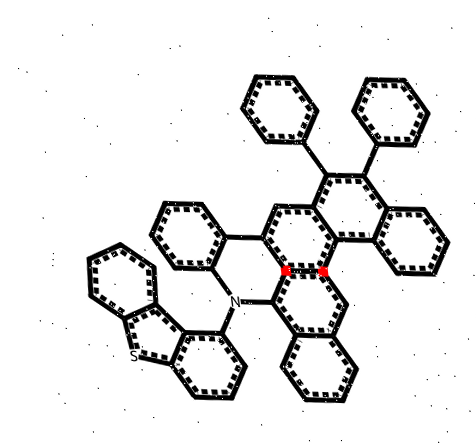 c1ccc(-c2c(-c3ccccc3)c3cc(-c4ccccc4N(c4cccc5ccccc45)c4cccc5sc6ccccc6c45)ccc3c3ccccc23)cc1